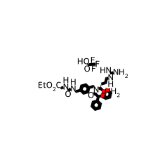 CCOC(=O)CNC(=O)NCc1ccc(CN(C(=O)C(c2ccccc2)c2ccccc2)[C@H](CCCNC(=N)N)C(N)=O)cc1.O=C(O)C(F)(F)F